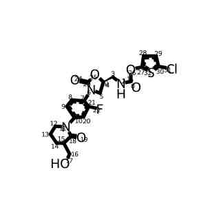 O=C(NC[C@H]1CN(c2ccc(N3CCCC(CO)C3=O)cc2F)C(=O)O1)Oc1ccc(Cl)s1